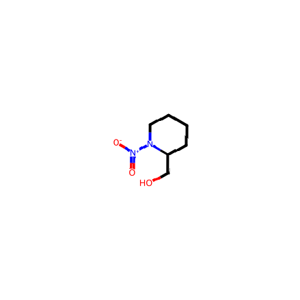 O=[N+]([O-])N1CCCCC1CO